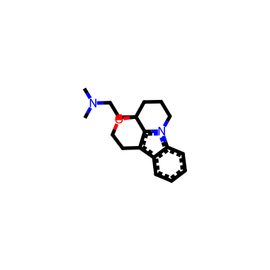 CN(C)CCC12CCCn3c1c(c1ccccc13)CCO2